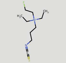 CC[N+](CC)(CCF)CCCN=C=S